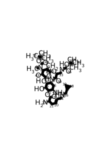 C=C1CO[C@H](O[C@@H]2[C@@H](O)[C@H](O[C@H]3OC(CNCC4CC4)=CC[C@H]3N)[C@@H](N)C[C@H]2NC(=O)[C@@H](O)CNC(=O)OC(C)(C)C)[C@H](O)[C@H]1N(C)C(=O)OC(C)(C)C